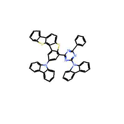 c1ccc(-c2nc(-c3cc(-n4c5ccccc5c5ccccc54)cc4c3sc3ccc5c6ccccc6sc5c34)nc(-n3c4ccccc4c4ccccc43)n2)cc1